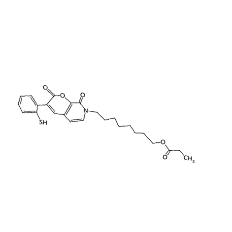 CCC(=O)OCCCCCCCCn1ccc2cc(-c3ccccc3S)c(=O)oc2c1=O